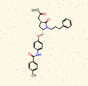 COC(=O)C[C@@H]1C[C@@H](COc2ccc(NC(=O)c3ccc(C#N)cc3)cc2)N(CCCc2ccccc2)C1=O